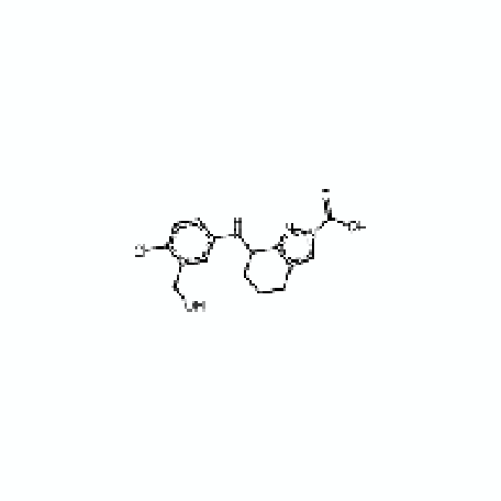 O=C(O)n1cc2c(n1)C(Nc1ccc(Cl)c(CO)c1)CCC2